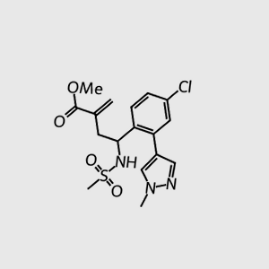 C=C(CC(NS(C)(=O)=O)c1ccc(Cl)cc1-c1cnn(C)c1)C(=O)OC